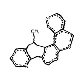 CC1c2cccnc2-c2ccc3ncc4ccncc4c3c21